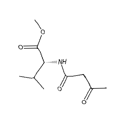 COC(=O)[C@H](NC(=O)CC(C)=O)C(C)C